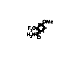 COc1ccc(C(N)=O)c(C(F)(F)F)c1